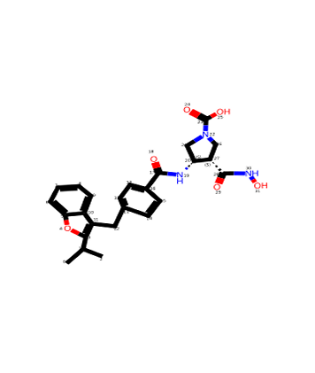 CC(C)c1oc2ccccc2c1Cc1ccc(C(=O)N[C@@H]2CN(C(=O)O)C[C@@H]2C(=O)NO)cc1